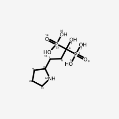 O=P(O)(O)C(O)(CCC1CCCN1)P(=O)(O)O